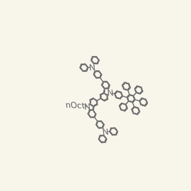 CCCCCCCCn1c2ccc(-c3ccc(N(c4ccccc4)c4ccccc4)cc3)cc2c2cc(-c3ccc4c(c3)c3cc(-c5ccc(N(c6ccccc6)c6ccccc6)cc5)ccc3n4-c3ccc(-c4c(-c5ccccc5)c(-c5ccccc5)c(-c5ccccc5)c(-c5ccccc5)c4-c4ccccc4)cc3)ccc21